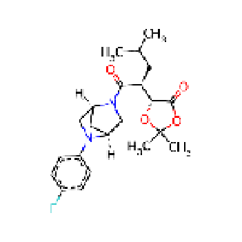 CC(C)C[C@H](C(=O)N1C[C@@H]2C[C@H]1CN2c1ccc(F)cc1)[C@H]1OC(C)(C)OC1=O